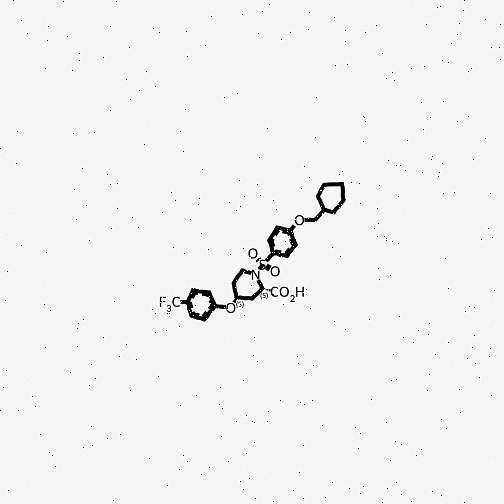 O=C(O)[C@@H]1C[C@@H](Oc2ccc(C(F)(F)F)cc2)CCN1S(=O)(=O)c1ccc(OCC2CCCCC2)cc1